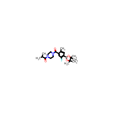 Cc1cc(B2OC(C)(C)C(C)(C)O2)c(F)cc1C(=O)N1CCN(C(=O)C(C)C)CC1